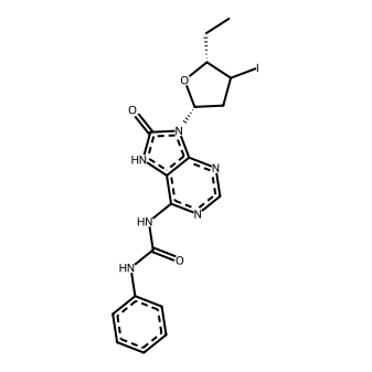 CC[C@H]1O[C@@H](n2c(=O)[nH]c3c(NC(=O)Nc4ccccc4)ncnc32)CC1I